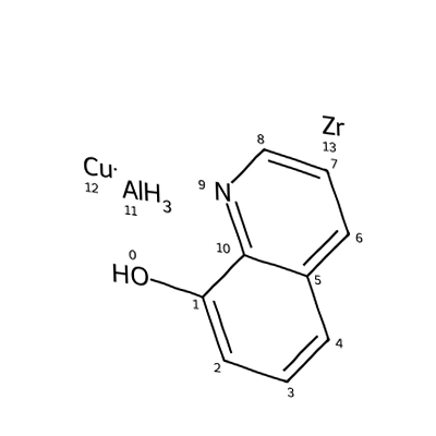 Oc1cccc2cccnc12.[AlH3].[Cu].[Zr]